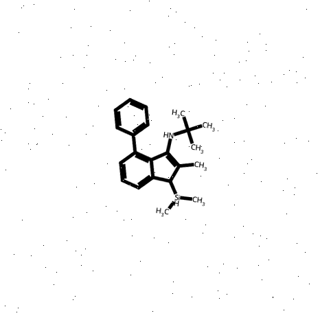 CC1=C(NC(C)(C)C)c2c(-c3ccccc3)cccc2C1[SiH](C)C